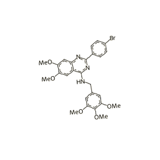 COc1cc2nc(-c3ccc(Br)cc3)nc(NCc3cc(OC)c(OC)c(OC)c3)c2cc1OC